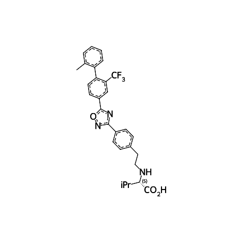 Cc1ccccc1-c1ccc(-c2nc(-c3ccc(CCN[C@H](C(=O)O)C(C)C)cc3)no2)cc1C(F)(F)F